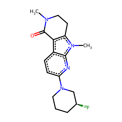 CN1CCc2c(c3ccc(N4CCC[C@H]([18F])C4)nc3n2C)C1=O